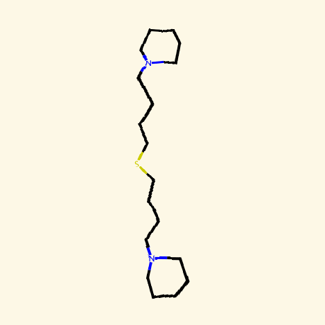 C1CCN(CCCCSCCCCN2CCCCC2)CC1